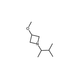 COC1CN(C(C)C(C)C)C1